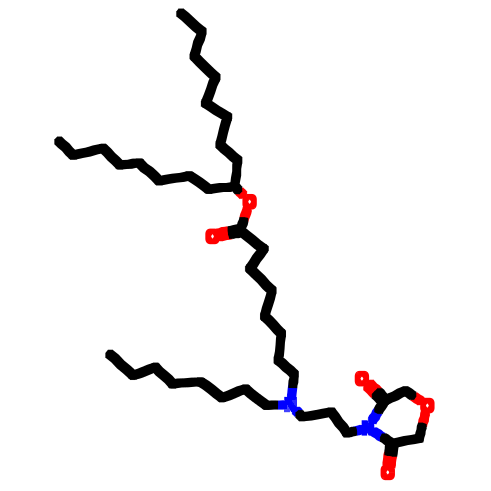 CCCCCCCCC(CCCCCCCC)OC(=O)CCCCCCCN(CCCCCCCC)CCCN1C(=O)COCC1=O